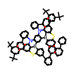 CC(C)(C)c1cc(-c2cc3c4c(c2)N(c2ccccc2-c2ccccc2)c2cc5c(cc2B4c2ccc(-c4ccccc4-c4ccccc4)cc2S3)B2c3ccc(-c4ccccc4-c4ccccc4)cc3Sc3cc(-c4cc(C(C)(C)C)cc(C(C)(C)C)c4)cc(c32)N5c2ccccc2-c2ccccc2)cc(C(C)(C)C)c1